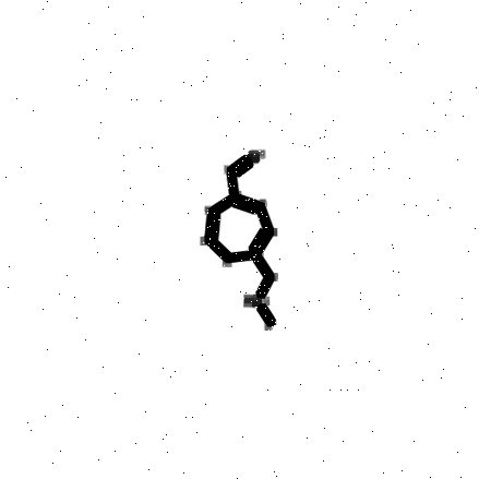 CBCC1=CC=C(C=O)C=CC1